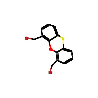 BrCc1cccc2c1Oc1c(CBr)cccc1S2